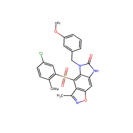 CCCOc1cccc(Cn2c(=O)[nH]c3cc4onc(C)c4c(S(=O)(=O)c4cc(Cl)ccc4OC)c32)c1